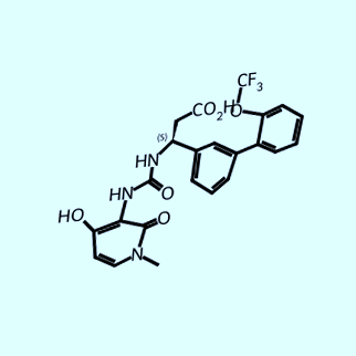 Cn1ccc(O)c(NC(=O)N[C@@H](CC(=O)O)c2cccc(-c3ccccc3OC(F)(F)F)c2)c1=O